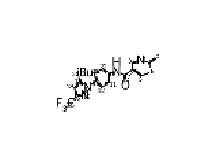 C=C/N=C\C(=C/C)C(=O)Nc1ccc(-n2nc(C(F)(F)F)cc2C(C)CC)cc1